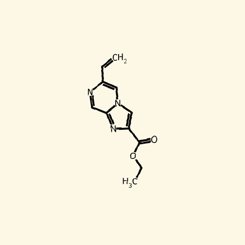 C=Cc1cn2cc(C(=O)OCC)nc2cn1